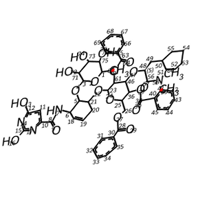 CC1OC(OC2C(NC(=O)c3cc(O)nc(O)n3)C=CCC2OC2OC(COC(=O)c3ccccc3)C(OC(=O)c3ccccc3)C(O[C@@H](CC3CCCCC3)C(=O)N(C)C)C2OC(=O)c2ccccc2)C(O)C(O)C1O